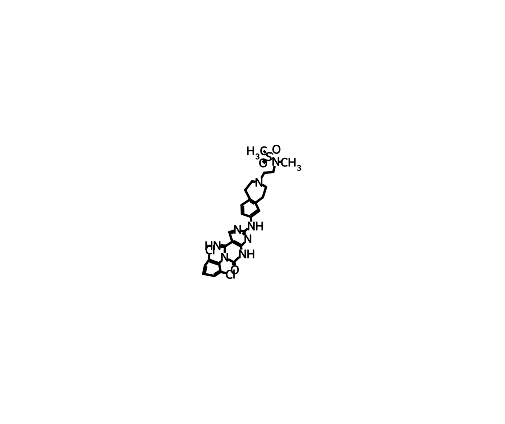 CN(CCN1CCc2ccc(Nc3ncc4c(=N)n(-c5c(Cl)cccc5Cl)c(=O)[nH]c4n3)cc2CC1)S(C)(=O)=O